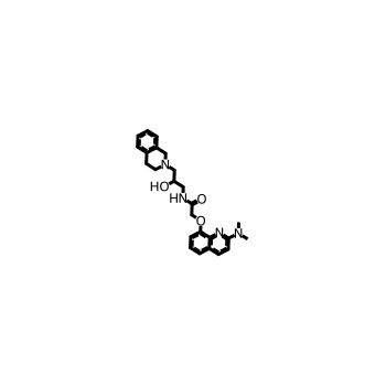 CN(C)c1ccc2cccc(OCC(=O)NCC(O)CN3CCc4ccccc4C3)c2n1